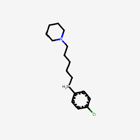 Clc1ccc([SiH2]CCCCCN2CCCCC2)cc1